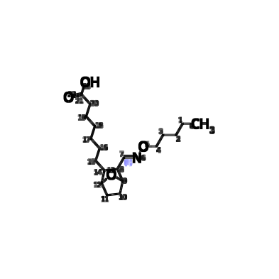 CCCCCO/N=C/C1C2CCC(O2)C1CCCCCCC(=O)O